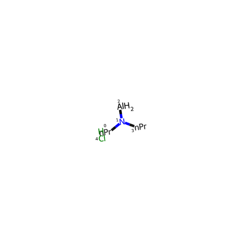 CCC[N]([AlH2])CCC.Cl